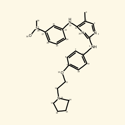 Cc1cnc(Nc2ccc(OCCN3CCCC3)cc2)nc1Nc1cccc([S+](C)[O-])c1